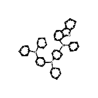 c1ccc(N(c2ccccc2)c2cccc(N(c3ccccc3)c3ccc(N(c4ccccc4)c4cccc5c4oc4ccccc45)cc3)c2)cc1